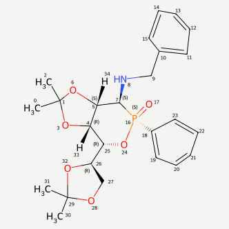 CC1(C)O[C@@H]2[C@H](O1)[C@@H](NCc1ccccc1)[P@](=O)(c1ccccc1)O[C@@H]2[C@H]1COC(C)(C)O1